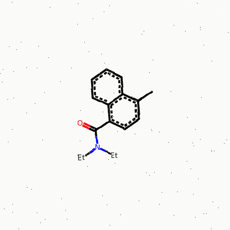 CCN(CC)C(=O)c1ccc(C)c2ccccc12